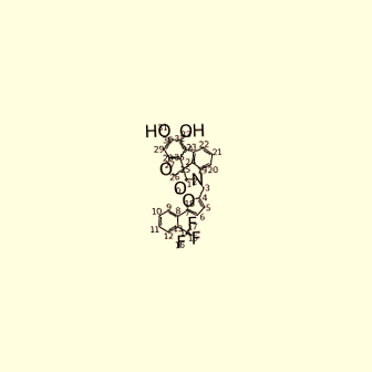 O=C1N(Cc2ccc(-c3ccccc3C(F)(F)F)o2)c2ccccc2C12COc1cc(O)c(O)cc12